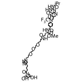 COC(=O)[C@H](CCC(=O)NCCCOCCOCCOCCCn1cc(CCCC(=O)N2C[C@H](O)C[C@H]2CO)nn1)NC(=O)c1ccc(N(Cc2cnc3nc(NC(=O)C(C)C)[nH]c(=O)c3n2)C(=O)C(F)(F)F)cc1